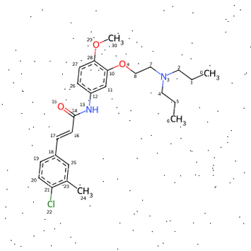 CCCN(CCC)CCOc1cc(NC(=O)/C=C/c2ccc(Cl)c(C)c2)ccc1OC